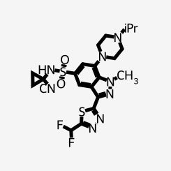 CC(C)N1CCN(c2cc(S(=O)(=O)NC3(C#N)CC3)cc3c(-c4nnc(C(F)F)s4)nn(C)c23)CC1